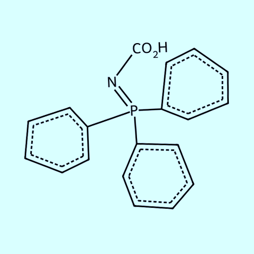 O=C(O)N=P(c1ccccc1)(c1ccccc1)c1ccccc1